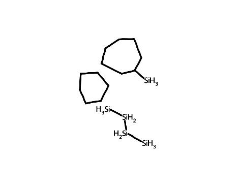 C1CCCCC1.[SiH3]C1CCCCCC1.[SiH3][SiH2][SiH2][SiH3]